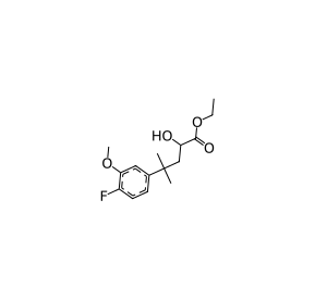 CCOC(=O)C(O)CC(C)(C)c1ccc(F)c(OC)c1